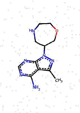 Cc1nn(C2CNCCOC2)c2ncnc(N)c12